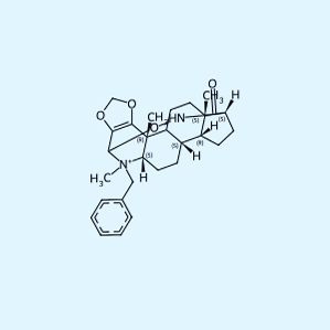 C[C@@]12CCC3[C@H]4CC[C@H]5[C@]3(C)C3=C(OCO3)C(ONC(=O)[C@H]1CC[C@H]42)[N+]5(C)Cc1ccccc1